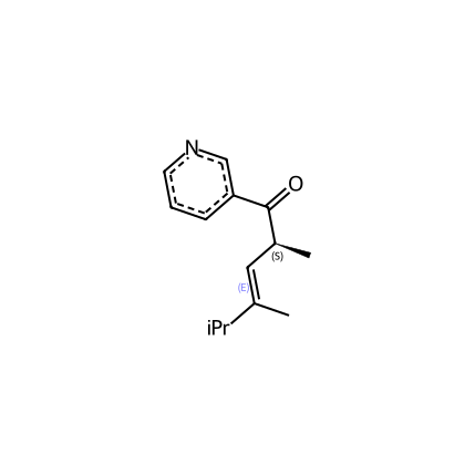 C/C(=C\[C@H](C)C(=O)c1cccnc1)C(C)C